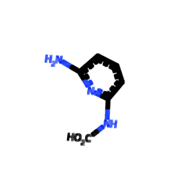 Nc1cccc(NC(=O)O)n1